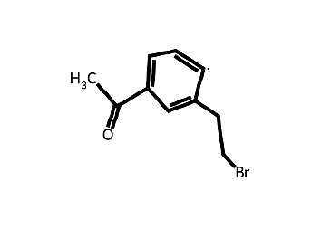 CC(=O)c1cc[c]c(CCBr)c1